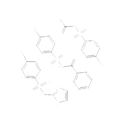 CC(=O)NS(=O)(=O)c1ccc(N)cc1.Nc1ccc(S(=O)(=O)NC(=O)c2ccccc2)cc1.Nc1ccc(S(=O)(=O)Nc2nccs2)cc1